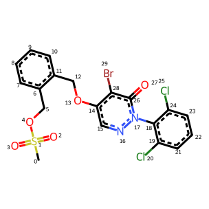 CS(=O)(=O)OCc1ccccc1COc1cnn(-c2c(Cl)cccc2Cl)c(=O)c1Br